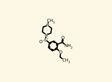 CCOc1ccc([S+]([O-])N2CCN(C)CC2)cc1C(N)=O